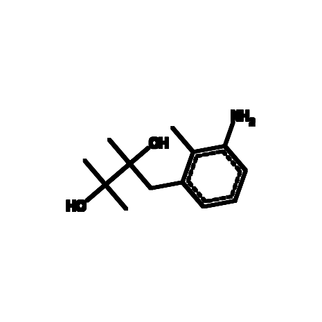 Cc1c(N)cccc1CC(C)(O)C(C)(C)O